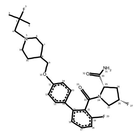 CC(C)(F)CN1CCC(COc2ccc(-c3cccc(F)c3C(=O)N3C[C@@H](F)C[C@H]3C(N)=O)cc2)CC1